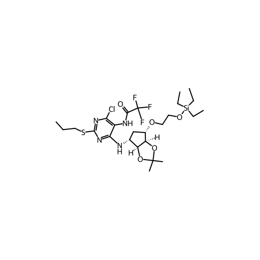 CCCSc1nc(Cl)c(NC(=O)C(F)(F)F)c(N[C@@H]2C[C@H](OCCO[Si](CC)(CC)CC)[C@H]3OC(C)(C)O[C@H]32)n1